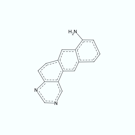 Nc1cccc2cc3c(ccc4ncncc43)cc12